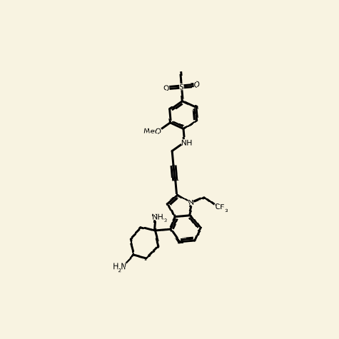 COc1cc(S(C)(=O)=O)ccc1NCC#Cc1cc2c(C3(N)CCC(N)CC3)cccc2n1CC(F)(F)F